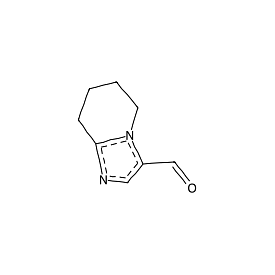 O=Cc1cnc2n1CCCC2